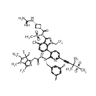 C[C@@H]1c2c(C(F)(F)F)nn(CC(=O)N[C@@H](Cc3cc(F)cc(F)c3)c3nc(C#CC(C)(C)S(C)(=O)=O)ccc3-c3ccc(Cl)c4c(N(C(=O)[C@H]5C[C@H](NC(=N)N)C5)S(C)(=O)=O)nn(CC(F)(F)F)c34)c2C(F)(F)[C@@H]1C